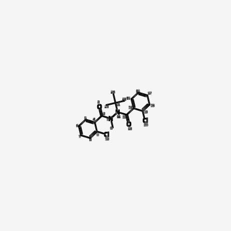 CN(C(=O)c1ccccc1Cl)N(C(=O)c1ccccc1Cl)C(C)(C)C